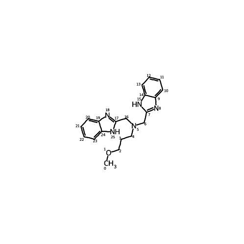 COCCCN(Cc1nc2ccccc2[nH]1)Cc1nc2ccccc2[nH]1